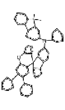 CC1(C)c2ccccc2-c2ccc(N(c3ccccc3)c3ccc4c(c3)C3(c5ccccc5Oc5cc(-c6ccccc6)c(-c6ccccc6)cc53)c3ccccc3-4)cc21